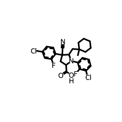 CC1(CC2N(c3cccc(Cl)c3F)C(C(=O)O)CC2(C#N)c2ccc(Cl)cc2F)CCCCC1